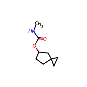 CNC(=O)OC1CCC2(CC2)C1